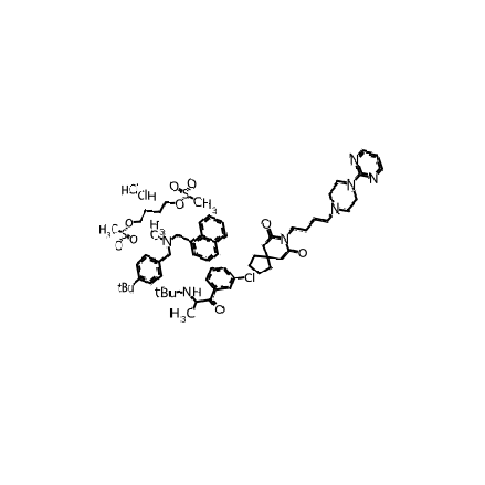 CC(NC(C)(C)C)C(=O)c1cccc(Cl)c1.CN(Cc1ccc(C(C)(C)C)cc1)Cc1cccc2ccccc12.CS(=O)(=O)OCCCCOS(C)(=O)=O.Cl.Cl.O=C1CC2(CCCC2)CC(=O)N1CCCCN1CCN(c2ncccn2)CC1